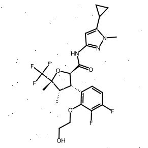 C[C@H]1[C@@H](c2ccc(F)c(F)c2OCCO)[C@H](C(=O)Nc2cc(C3CC3)n(C)n2)O[C@@]1(C)C(F)(F)F